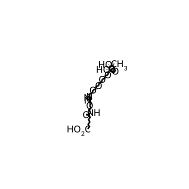 C[C@H]1C2OC[C@](COCCOCCOCCOCCn3cc(COCCNC(=O)CCCCCC(=O)O)nn3)(O2)[C@H](O)[C@@H]1O